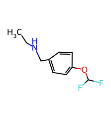 CCNCc1ccc(OC(F)F)cc1